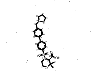 CC1(C)SCCN(S(=O)(=O)c2ccc(-c3ccc(CN4CCCC4)cc3)cc2)[C@H]1C(=O)O